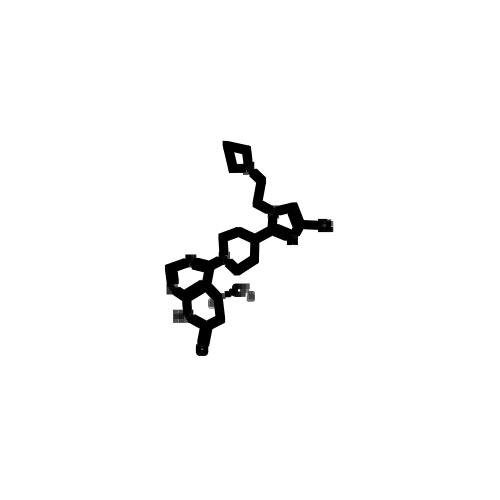 CCc1cn(CCN2CCC2)c(C2CCN(c3ncnc4c3[C@H](C(F)(F)F)CC(=O)N4)CC2)n1